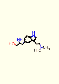 CN(C)CCc1c[nH]c2ccc(CC(N)CO)cc12